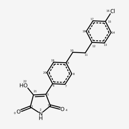 O=C1NC(=O)C(c2ccc(CCc3ccc(Cl)cc3)cc2)=C1O